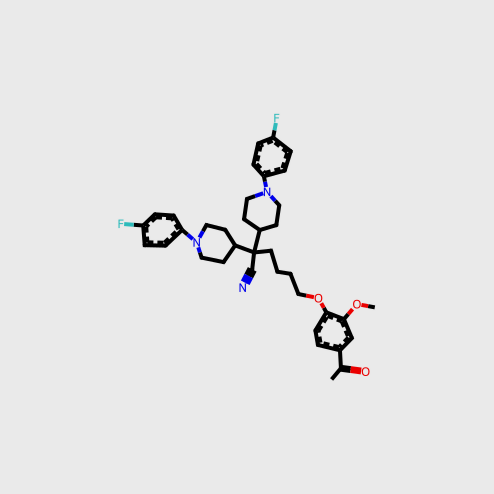 COc1cc(C(C)=O)ccc1OCCCCC(C#N)(C1CCN(c2ccc(F)cc2)CC1)C1CCN(c2ccc(F)cc2)CC1